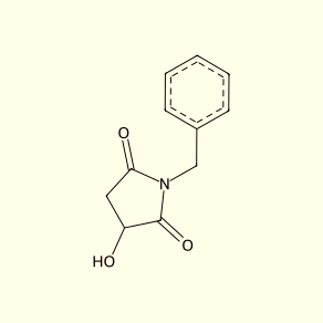 O=C1CC(O)C(=O)N1Cc1ccccc1